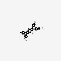 CC(C)(C)c1ccc(-c2cc3c(cc2-c2ccc(C(C)(C)C)cc2)C(C)(C)c2cc(-c4ccc(C(C)(C)C)cc4)c(-c4ccc(C(C)(C)C)cc4)cc2C3(C)C)cc1